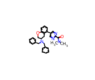 CN(C)C(=O)c1ncc(-c2cccc3c2C[C@H](N(Cc2ccccc2)Cc2ccccc2)CO3)cn1